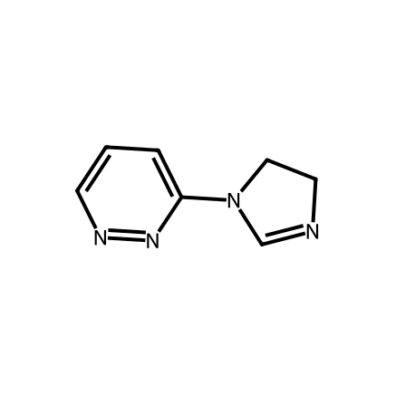 C1=NCCN1c1cccnn1